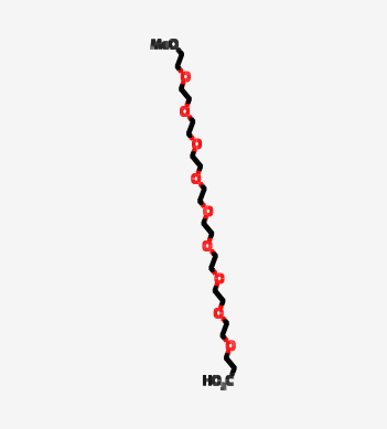 COCCOCCOCCOCCOCCOCCOCCOCCOCCOCCC(=O)O